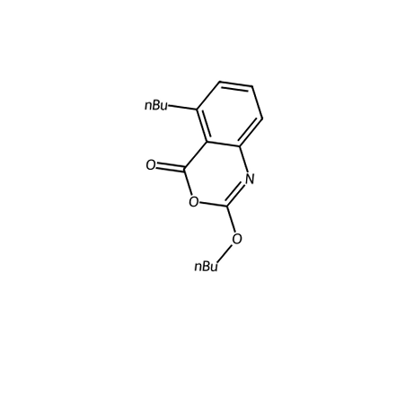 CCCCOc1nc2cccc(CCCC)c2c(=O)o1